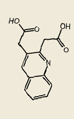 O=C(O)Cc1cc2ccccc2nc1CC(=O)O